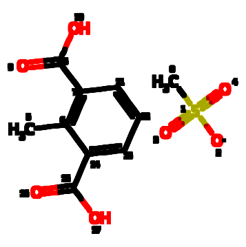 CS([O])(=O)=O.Cc1c(C(=O)O)cccc1C(=O)O